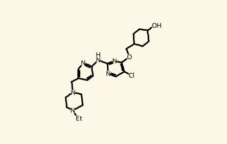 CCN1CCN(Cc2ccc(Nc3ncc(Cl)c(OCC4CCC(O)CC4)n3)nc2)CC1